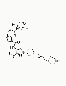 O=C(Nc1cn(C2CCC(COCCC3CCNCC3)CC2)nc1C(F)F)c1cnn2ccc(N3C[C@H]4C[C@@H]3CO4)nc12